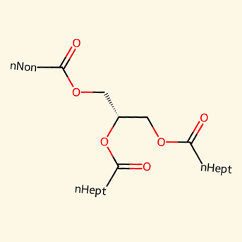 CCCCCCCCCC(=O)OC[C@H](COC(=O)CCCCCCC)OC(=O)CCCCCCC